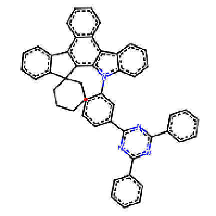 c1ccc(-c2nc(-c3ccccc3)nc(-c3cccc(-n4c5ccccc5c5c6ccccc6c6c(c54)C4(CCCCC4)c4ccccc4-6)c3)n2)cc1